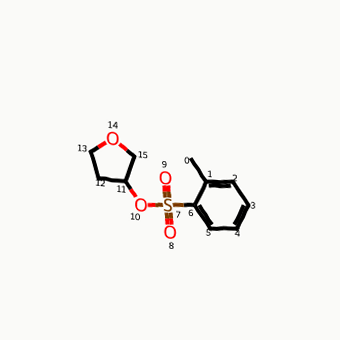 Cc1ccccc1S(=O)(=O)OC1CCOC1